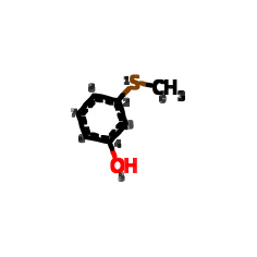 CSc1[c]c(O)ccc1